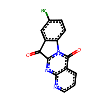 O=C1c2cc(Br)ccc2-n2c1nc1ncccc1c2=O